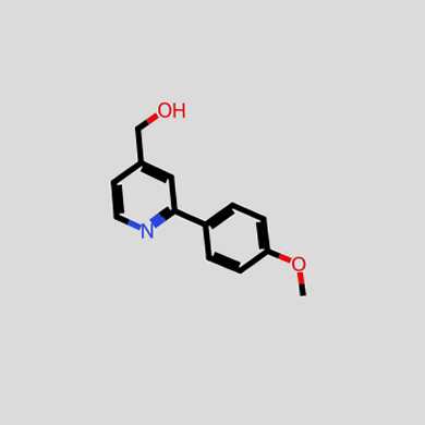 COc1ccc(-c2cc(CO)ccn2)cc1